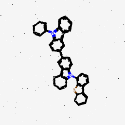 C1=CCC2Sc3c(cccc3-n3c4c(c5cc(-c6ccc7c(c6)c6ccccc6n7C6=CCCC=C6)ccc53)CCC=C4)C2=C1